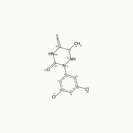 CC1NN(c2cc(Cl)cc(Cl)c2)C(=O)NC1=S